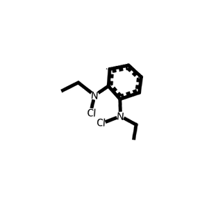 CCN(Cl)c1[c]cccc1N(Cl)CC